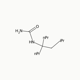 CCCC(CCC)(CC(C)C)NC(N)=O